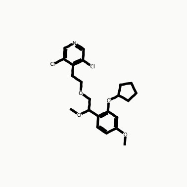 COc1ccc(C(COCCc2c(Cl)cncc2Cl)OC)c(OC2CCCC2)c1